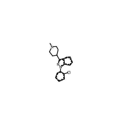 CN1CCC(c2nn(-c3ccccc3Cl)c3ccccc23)CC1